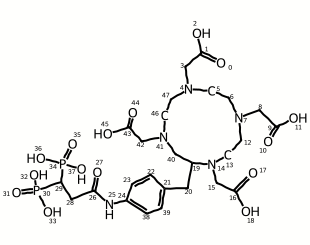 O=C(O)CN1CCN(CC(=O)O)CCN(CC(=O)O)C(Cc2ccc(NC(=O)CC(P(=O)(O)O)P(=O)(O)O)cc2)CN(CC(=O)O)CC1